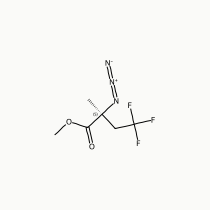 COC(=O)[C@](C)(CC(F)(F)F)N=[N+]=[N-]